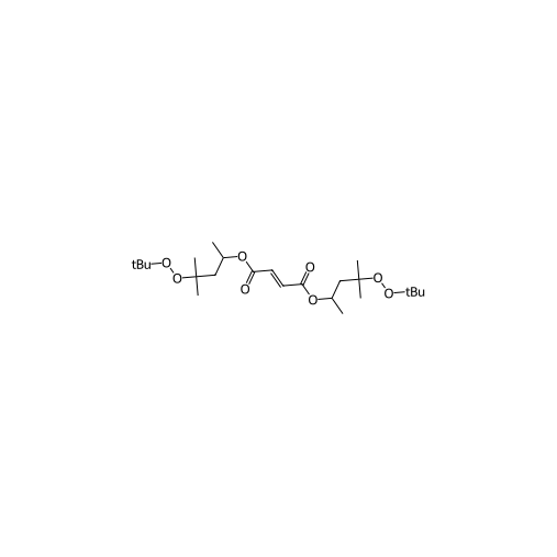 CC(CC(C)(C)OOC(C)(C)C)OC(=O)/C=C/C(=O)OC(C)CC(C)(C)OOC(C)(C)C